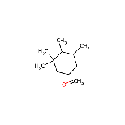 C=O.CC1CCCC(C)(C)C1C